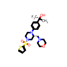 C[C@](O)(c1ccc(N2CCN(S(=O)(=O)c3cccs3)C[C@H]2CN2CCOCC2)cc1)C(F)(F)F